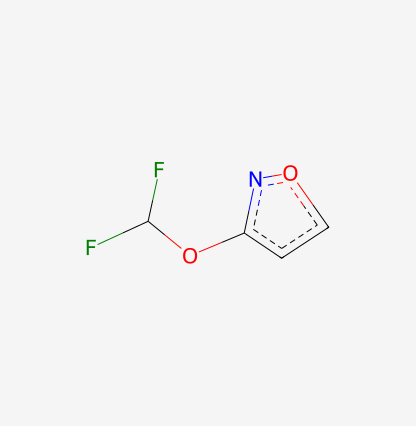 FC(F)Oc1ccon1